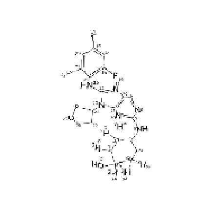 [2H]C1C([2H])([2H])C(Nc2ncc3nc(Nc4c(F)cc(F)cc4F)n(C4CCOC4)c3n2)CC([2H])([2H])C1([2H])O